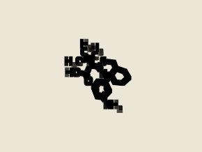 CC(C)(C)N(C(=O)O)C1=NC2(c3cccc(N)c3)CCCCC2CS1